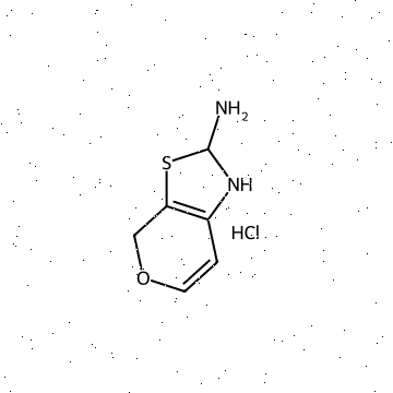 Cl.NC1NC2=C(COC=C2)S1